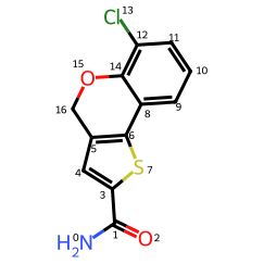 NC(=O)c1cc2c(s1)-c1cccc(Cl)c1OC2